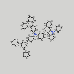 C1=CC[C@@H](c2cc(-c3ccccc3)cc(-c3ccc(N(c4ccc(-c5ccccc5-c5ccccc5)cc4)c4cccc(-c5cc6ccccc6c6c5c5ccccc5n6-c5ccccc5)c4)cc3)c2)C=C1